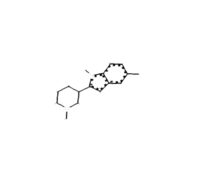 CCn1c(C2CCCN(C)C2)cc2cc(C)ccc21